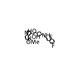 COc1ccc2nccc([C@@H](O)[C@H](O)C3CCC(NC/C=C/c4cc(F)ccc4F)CC3)c2n1